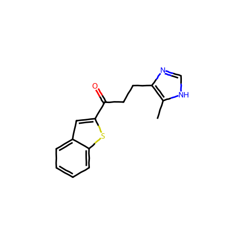 Cc1[nH]cnc1CCC(=O)c1cc2ccccc2s1